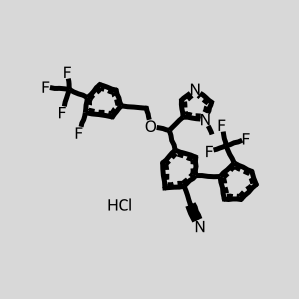 Cl.Cn1cncc1C(OCc1ccc(C(F)(F)F)c(F)c1)c1ccc(C#N)c(-c2ccccc2C(F)(F)F)c1